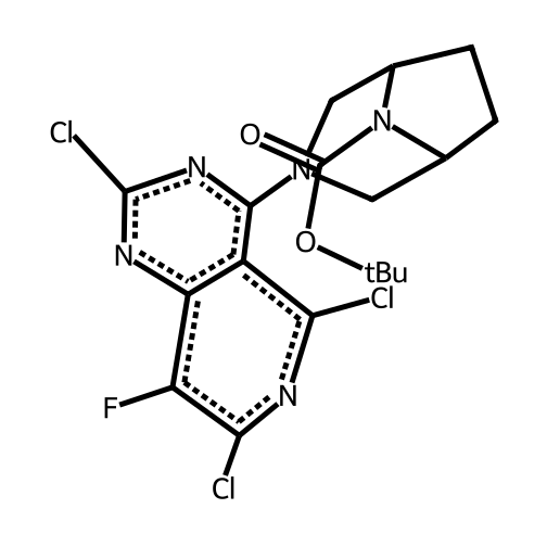 CC(C)(C)OC(=O)N1C2CCC1CN(c1nc(Cl)nc3c(F)c(Cl)nc(Cl)c13)C2